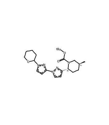 C[C@H]1CC[C@H](c2ccn(-c3ccn(C4CCCCO4)n3)n2)N(C(=O)OC(C)(C)C)C1